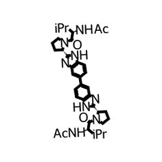 CC(=O)N[C@H](C(=O)N1CCC[C@H]1c1nc2cc(-c3ccc4[nH]c([C@@H]5CCCN5C(=O)[C@@H](NC(C)=O)C(C)C)nc4c3)ccc2[nH]1)C(C)C